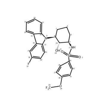 O=S(=O)(N[C@@H]1CCC[C@H](n2c3ccccc3c3cc(F)ccc32)[C@H]1O)c1ccc(OC(F)(F)F)cc1